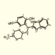 CCCc1ccc(O)c(C(OC2CCN(C)CC2)c2nc3ccccc3[nH]2)c1